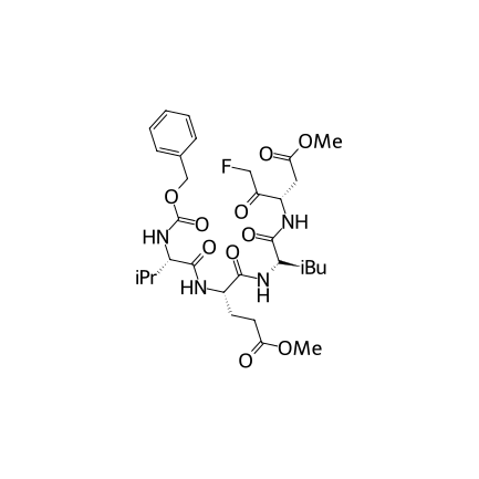 CC[C@H](C)[C@H](NC(=O)[C@H](CCC(=O)OC)NC(=O)[C@@H](NC(=O)OCc1ccccc1)C(C)C)C(=O)N[C@@H](CC(=O)OC)C(=O)CF